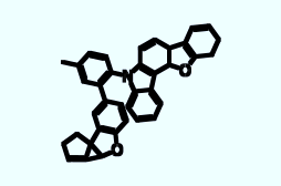 Cc1ccc(-n2c3c(c4ccccc42)C2OC4=C(C=CCC4)C2C=C3)c(-c2ccc3c(c2)C24CCC=C2C4O3)c1